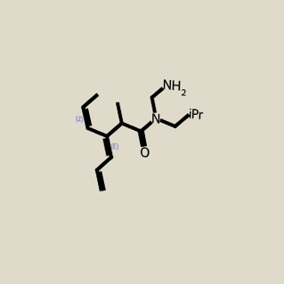 C=C/C=C(\C=C/C)C(C)C(=O)N(CN)CC(C)C